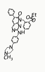 CCS(=O)(=O)c1ccccc1Cn1c(=O)c(-c2ccccc2)cc2cnc(Nc3ccc(N4CCN(C)CC4)cc3)nc21